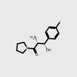 N[C@@H](C(=O)N1CCCC1)[C@@H](O)c1ccc(I)cc1